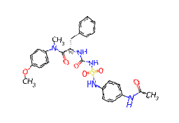 COc1ccc(N(C)C(=O)[C@H](Cc2ccccc2)NC(=O)NS(=O)(=O)Nc2ccc(NC(C)=O)cc2)cc1